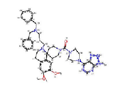 COc1cc2c(cc1OC)C1(CCN(C(=O)N3CCN(c4ncnc5c4nnn5C)CC3)CC1)N(CCCN(Cc1ccccc1)Cc1ccccc1)CC2